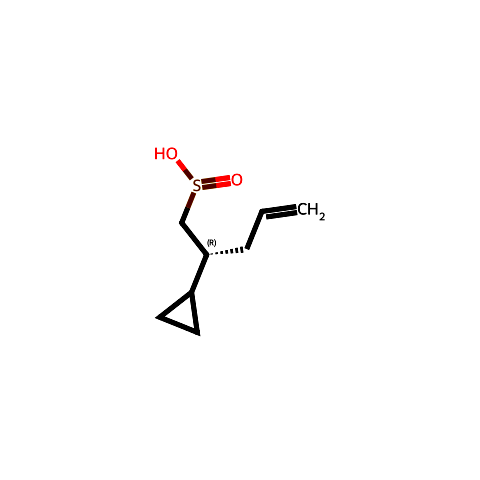 C=CC[C@@H](CS(=O)O)C1CC1